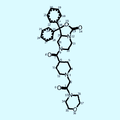 O=C(CN1CCC(C(=O)N2CCN3C(=O)OC(c4ccccc4)(c4ccccc4)C3C2)CC1)N1CCOCC1